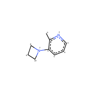 Cc1ncccc1N1CCC1